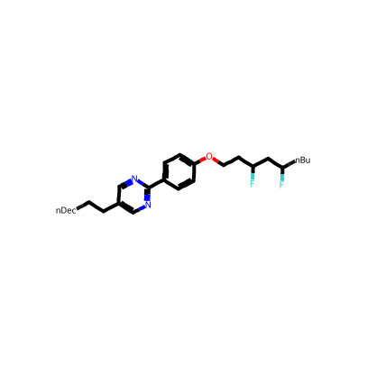 CCCCCCCCCCCCc1cnc(-c2ccc(OCCC(F)CC(F)CCCC)cc2)nc1